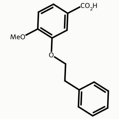 COc1ccc(C(=O)O)cc1OCCc1ccccc1